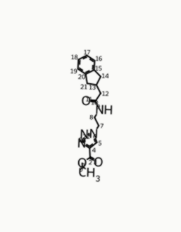 COC(=O)c1cn(CCNC(=O)CC2Cc3ccccc3C2)nn1